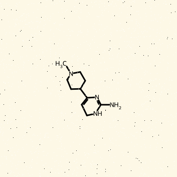 CN1CCC(C2=CCNC(N)=N2)CC1